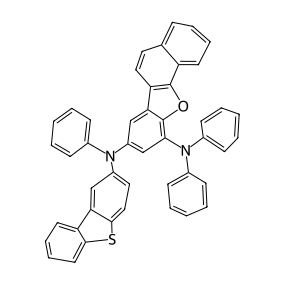 c1ccc(N(c2ccc3sc4ccccc4c3c2)c2cc(N(c3ccccc3)c3ccccc3)c3oc4c5ccccc5ccc4c3c2)cc1